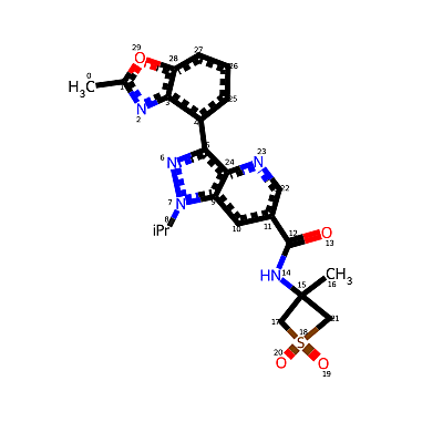 Cc1nc2c(-c3nn(C(C)C)c4cc(C(=O)NC5(C)CS(=O)(=O)C5)cnc34)cccc2o1